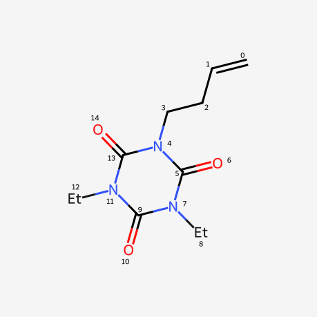 C=CCCn1c(=O)n(CC)c(=O)n(CC)c1=O